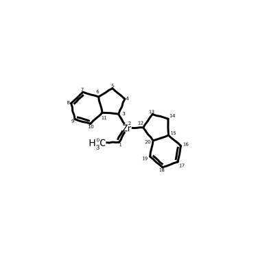 C[CH]=[Zr]([CH]1CCC2C=CC=CC21)[CH]1CCC2C=CC=CC21